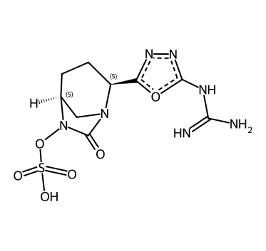 N=C(N)Nc1nnc([C@@H]2CC[C@H]3CN2C(=O)N3OS(=O)(=O)O)o1